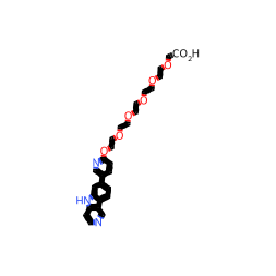 O=C(O)COCCOCCOCCOCCOCCOc1ccc(-c2ccc3c(c2)[nH]c2ccncc23)cn1